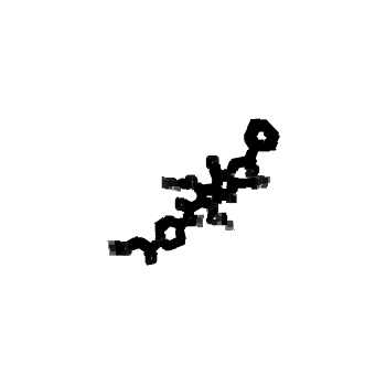 CC(C)Oc1c(C(=O)NC2CCN(C(=O)CO)CC2)n(C)c2nc(C(C)C)n(CC(=O)c3ccccc3)c(=O)c12